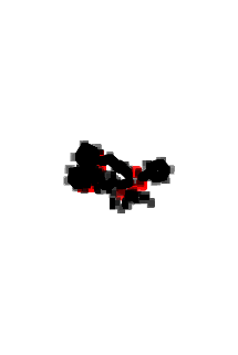 C[C@H](CC#CC(OC(=O)c1ccccc1)[C@H]1OC(C)(C)O[C@H]1CCCO)O[Si](c1ccccc1)(c1ccccc1)C(C)(C)C